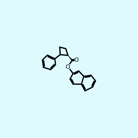 O=C(Oc1ccc2ccccc2c1)[C@@H]1CCC1c1ccccc1